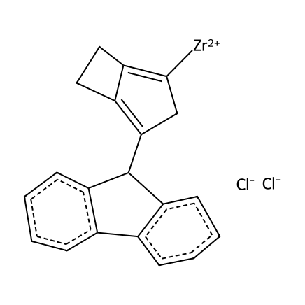 [Cl-].[Cl-].[Zr+2][C]1=C2CCC2=C(C2c3ccccc3-c3ccccc32)C1